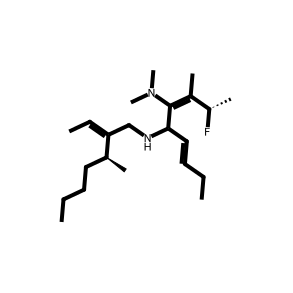 C/C=C(/CNC(C=CCC)/C(=C(/C)[C@H](C)F)N(C)C)[C@@H](C)CCCC